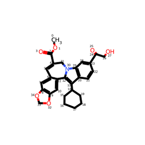 COC(=O)C1=Cc2cc3c(cc2-c2c(C4CCCCC4)c4ccc(C(=O)CO)cc4n2C1)OCO3